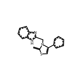 C=C1SC=C(c2ccccc2)N1Cc1nc2ccccc2[nH]1